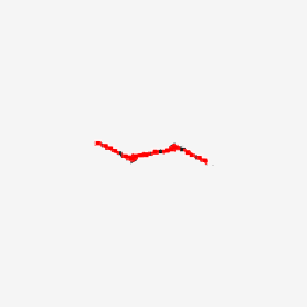 BrCCCCCCCCCCCC[n+]1ccn(CCCCCCCCCCCCn2cc[n+](CCCCCCCCCCCCBr)c2)c1